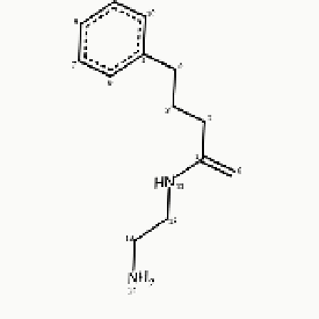 C=C(CCCc1ccccc1)NCCN